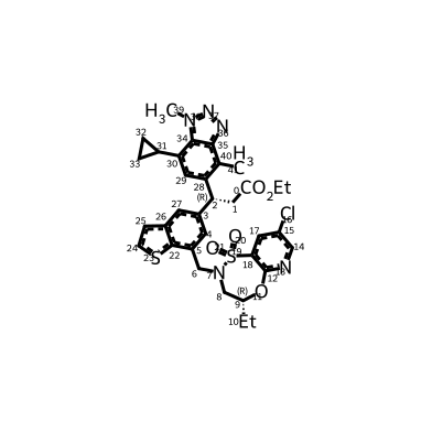 CCOC(=O)C[C@H](c1cc(CN2C[C@@H](CC)Oc3ncc(Cl)cc3S2(=O)=O)c2sccc2c1)c1cc(C2CC2)c2c(nnn2C)c1C